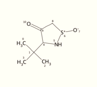 CC(C)(C)C1N[S+]([O-])CC1=O